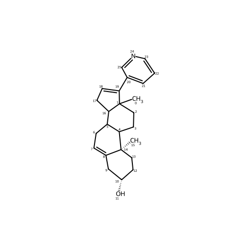 CC12CCC3C(CC=C4C[C@@H](O)CC[C@@]43C)C1CC=C2c1cccnc1